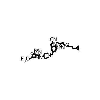 N#Cc1cc2cc(CN3CCC(Nc4ncnc5sc(CC(F)(F)F)cc45)CC3)ccc2n1Cc1cc(OCCCC2CC2)n[nH]1